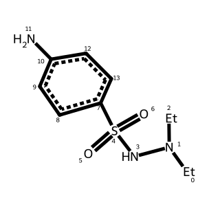 CCN(CC)NS(=O)(=O)c1ccc(N)cc1